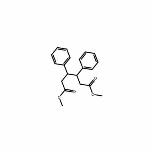 COC(=O)CC(c1ccccc1)C(CC(=O)OC)c1ccccc1